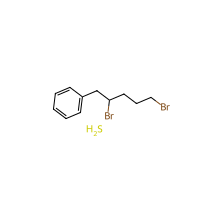 BrCCCC(Br)Cc1ccccc1.S